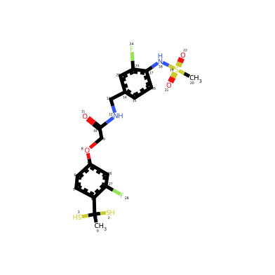 CC(S)(S)c1ccc(OCC(=O)NCc2ccc(NS(C)(=O)=O)c(F)c2)cc1F